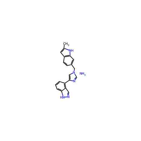 Cc1cc2ccc(Cn3cnc(-c4cccc5[nH]ncc45)c3)cc2[nH]1.N